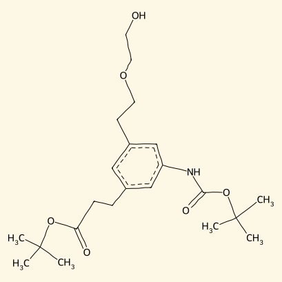 CC(C)(C)OC(=O)CCc1cc(CCOCCO)cc(NC(=O)OC(C)(C)C)c1